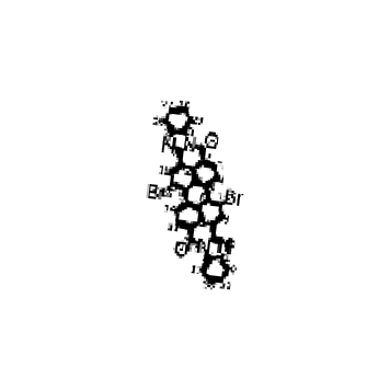 O=c1c2ccc3c4c(Br)cc5c6c(ccc(c7c(Br)cc(c2c37)c2nc3ccccc3n12)c46)c(=O)n1c2ccccc2nc51